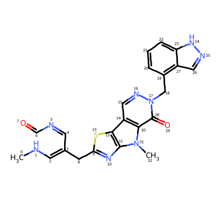 CN/C=C(\C=N/C=O)Cc1nc2c(s1)c1cnn(Cc3cccc4[nH]ncc34)c(=O)c1n2C